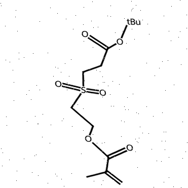 C=C(C)C(=O)OCCS(=O)(=O)CCC(=O)OC(C)(C)C